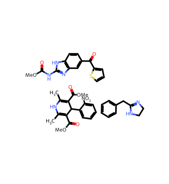 COC(=O)C1=C(C)NC(C)=C(C(=O)OC)C1c1ccccc1[N+](=O)[O-].COC(=O)Nc1nc2cc(C(=O)c3cccs3)ccc2[nH]1.c1ccc(CC2=NCCN2)cc1